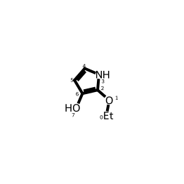 CCOc1[nH]ccc1O